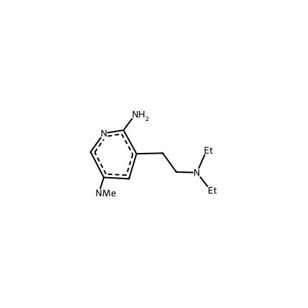 CCN(CC)CCc1cc(NC)cnc1N